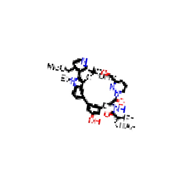 CCn1c(-c2cnccc2COC)c2c3cc(ccc31)-c1cc(O)cc(c1)C[C@H](NC(=O)[C@@H](NC(C)=O)C(C)C)C(=O)N1CCCC(C=O)(COCC(C)(C)C2)N1